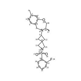 Cc1cc2c(cn1)CN(C1CC3(C1)CN(S(=O)(=O)c1ccccc1F)C3)[C@H](C)CO2